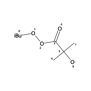 CCC(C)OOC(=O)C(C)(C)[O]